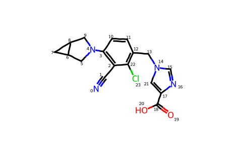 N#Cc1c(N2CC3CC3C2)ccc(Cn2cnc(C(=O)O)c2)c1Cl